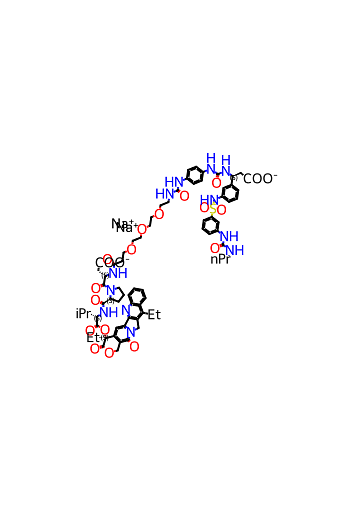 CCCNC(=O)Nc1cccc(S(=O)(=O)Nc2cccc([C@H](CC(=O)[O-])NC(=O)Nc3ccc(NC(=O)NCCOCCOCCOCCC(=O)N[C@@H](CC(=O)[O-])C(=O)N4CCC[C@H]4C(=O)N[C@H](C(=O)O[C@]4(CC)C(=O)OCc5c4cc4n(c5=O)Cc5c-4nc4ccccc4c5CC)C(C)C)cc3)c2)c1.[Na+].[Na+]